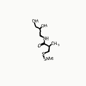 CSSCC(C)C(=O)NCC(O)CO